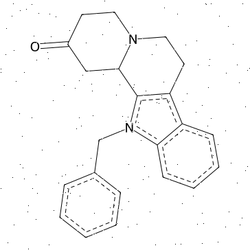 O=C1CCN2CCc3c(n(Cc4ccccc4)c4ccccc34)C2C1